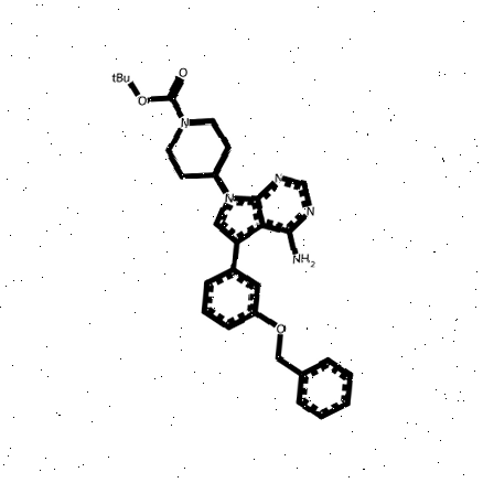 CC(C)(C)OC(=O)N1CCC(n2cc(-c3cccc(OCc4ccccc4)c3)c3c(N)ncnc32)CC1